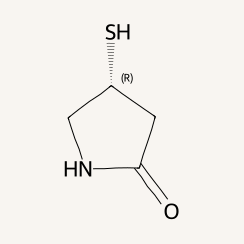 O=C1C[C@@H](S)CN1